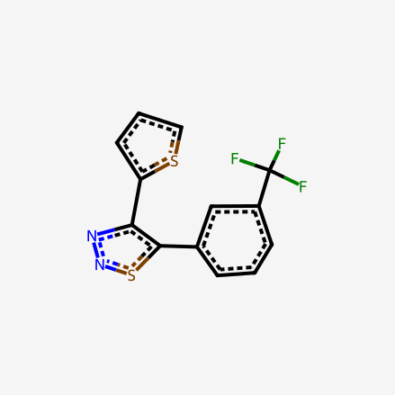 FC(F)(F)c1cccc(-c2snnc2-c2cccs2)c1